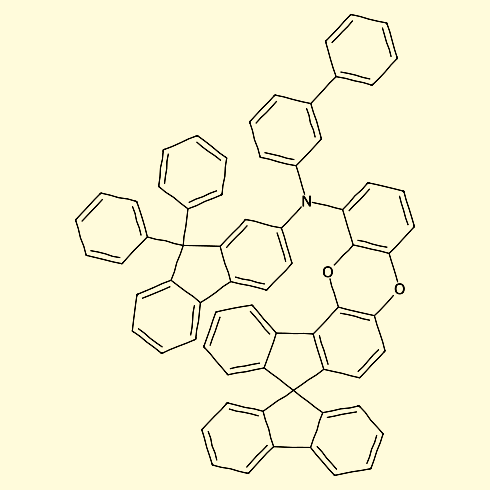 c1ccc(-c2cccc(N(c3ccc4c(c3)C(c3ccccc3)(c3ccccc3)c3ccccc3-4)c3cccc4c3Oc3c(ccc5c3-c3ccccc3C53c5ccccc5-c5ccccc53)O4)c2)cc1